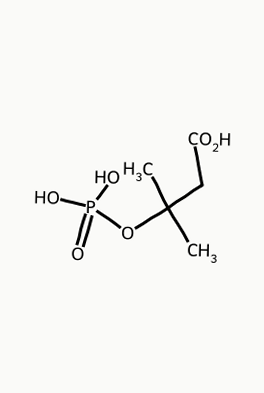 CC(C)(CC(=O)O)OP(=O)(O)O